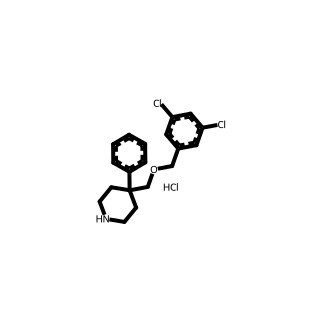 Cl.Clc1cc(Cl)cc(COCC2(c3ccccc3)CCNCC2)c1